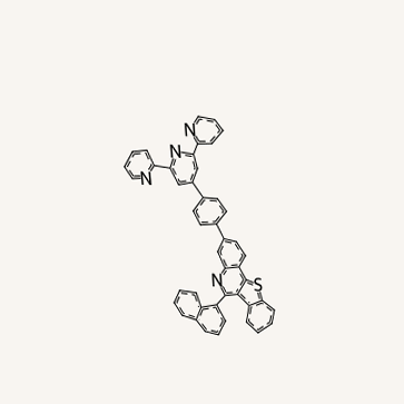 c1ccc(-c2cc(-c3ccc(-c4ccc5c(c4)nc(-c4cccc6ccccc46)c4c6ccccc6sc54)cc3)cc(-c3ccccn3)n2)nc1